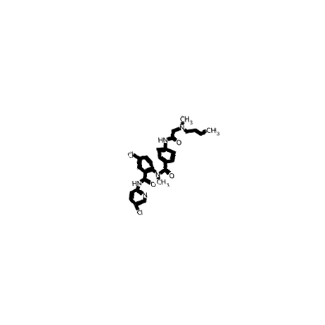 CCCCN(C)CC(=O)Nc1ccc(C(=O)N(C)c2ccc(Cl)cc2C(=O)Nc2ccc(Cl)cn2)cc1